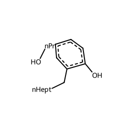 CCCCCCCCc1ccccc1O.CCCO